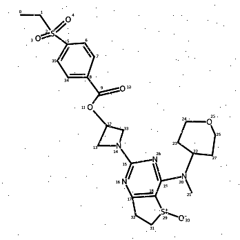 CCS(=O)(=O)c1ccc(C(=O)OC2CN(c3nc4c(c(N(C)C5CCOCC5)n3)[S+]([O-])CC4)C2)cc1